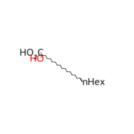 CCCCCCC=CCCCCCCCCCCCCCCC(O)C(=O)O